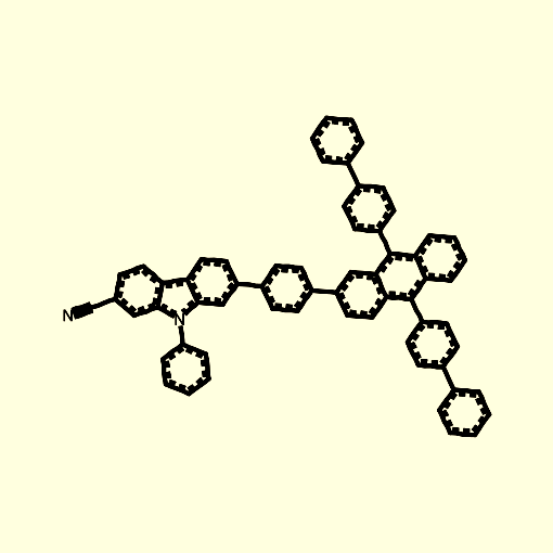 N#Cc1ccc2c3ccc(-c4ccc(-c5ccc6c(-c7ccc(-c8ccccc8)cc7)c7ccccc7c(-c7ccc(-c8ccccc8)cc7)c6c5)cc4)cc3n(-c3ccccc3)c2c1